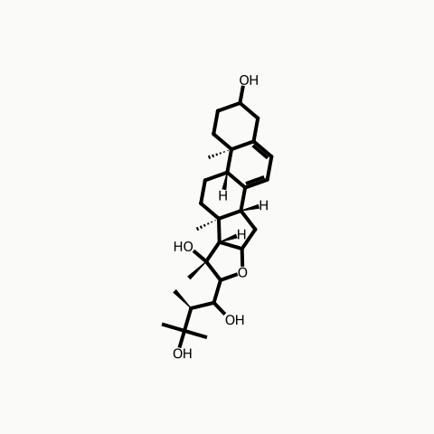 C[C@@H](C(O)C1OC2C[C@H]3C4=CC=C5CC(O)CC[C@]5(C)[C@H]4CC[C@]3(C)[C@H]2[C@@]1(C)O)C(C)(C)O